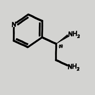 NC[C@@H](N)c1ccncc1